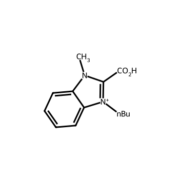 CCCC[n+]1c(C(=O)O)n(C)c2ccccc21